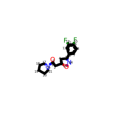 O=C(CC1CC(c2ccc(F)c(F)c2)=NO1)N1CCCCC1